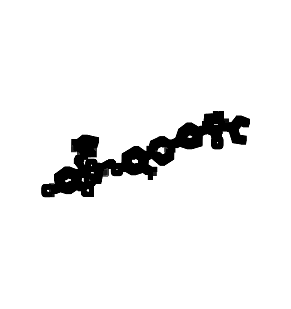 CCC(CC)n1ncn(-c2ccc(N3CCN(c4ccc(OC[C@H]5CO[C@](Cn6nccn6)(c6ccc(Cl)cc6Cl)O5)cc4F)CC3)cc2)c1=O